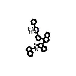 N=C(/C=C\C(=N)c1cccc(-c2c(-c3cc4sc(-c5cccc6ccccc56)nc4c4ccccc34)ccc3ccccc23)c1)c1ccccc1